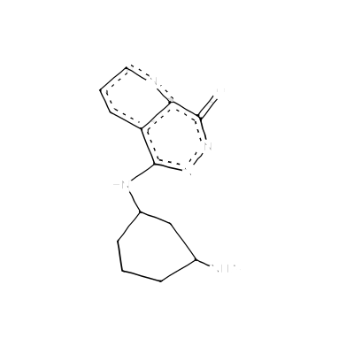 CC(=O)NC1CCCC(Nc2n[nH]c(=O)c3ncccc23)C1